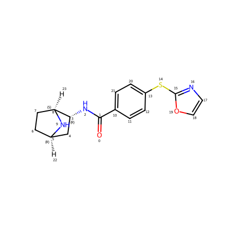 O=C(N[C@@H]1C[C@H]2CC[C@@H]1N2)c1ccc(Sc2ncco2)cc1